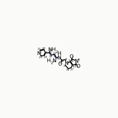 CN1C(=O)C2=C(C1=O)N(CC(=O)N/C(N)=C/C=C(\N)c1ccncc1)CCC2